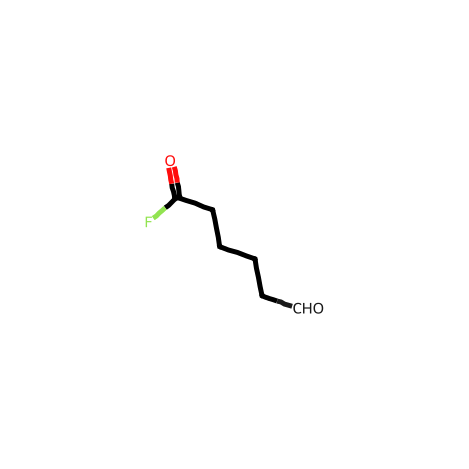 O=CCCCCC(=O)F